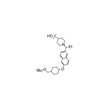 CCC(c1ccc2cc(OC3CCC(COC(C)(C)C)CC3)ccc2c1)N1CCC(C(=O)O)CC1